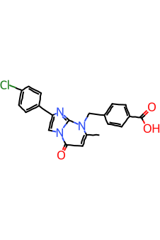 Cc1cc(=O)n2cc(-c3ccc(Cl)cc3)nc2n1Cc1ccc(C(=O)O)cc1